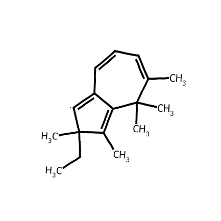 CCC1(C)[C]=C2C=CC=C(C)C(C)(C)C2=C1C